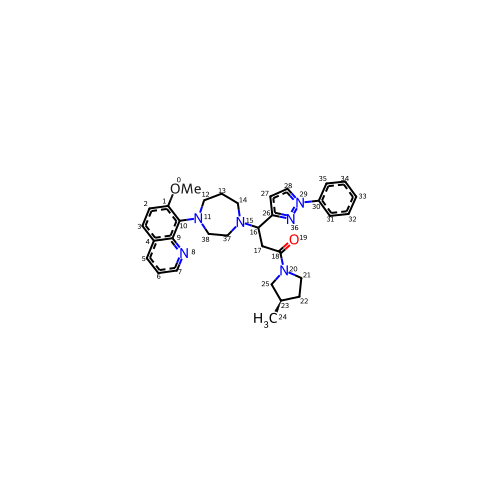 COc1ccc2cccnc2c1N1CCCN(C(CC(=O)N2CC[C@@H](C)C2)c2ccn(-c3ccccc3)n2)CC1